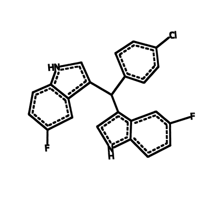 Fc1ccc2[nH]cc(C(c3ccc(Cl)cc3)c3c[nH]c4ccc(F)cc34)c2c1